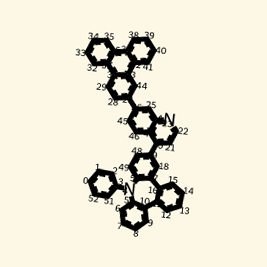 c1ccc(N2c3ccccc3-c3ccccc3-c3cc(-c4ccnc5cc(-c6ccc7c8ccccc8c8ccccc8c7c6)ccc45)ccc32)cc1